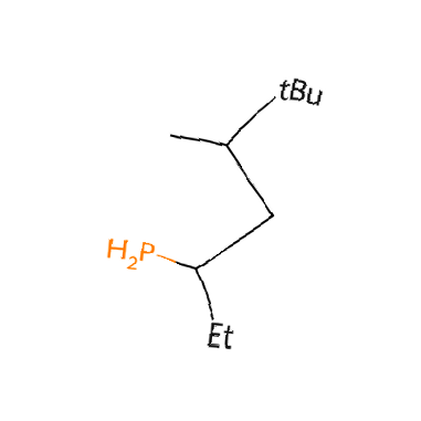 CCC(P)CC(C)C(C)(C)C